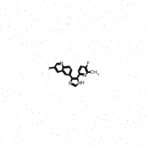 Cc1nc(-c2[nH]cnc2-c2ccc3ncc(I)cc3c2)ccc1F